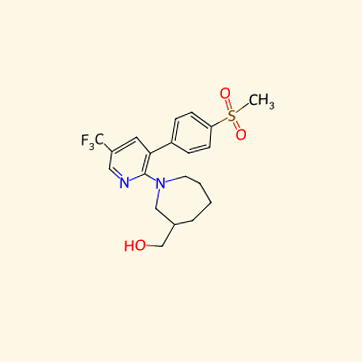 CS(=O)(=O)c1ccc(-c2cc(C(F)(F)F)cnc2N2CCCCC(CO)C2)cc1